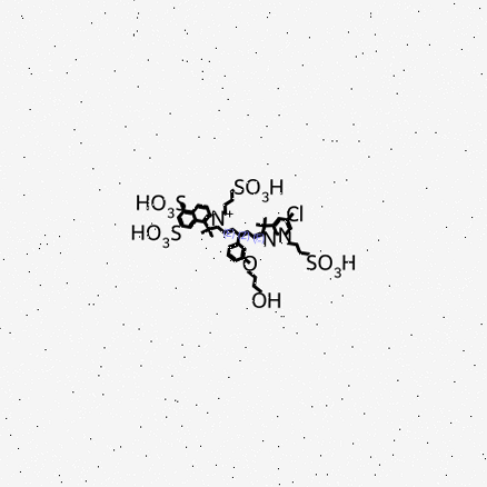 CC1(C)C2=CC(Cl)=CN(CCCCS(=O)(=O)O)C2=N/C1=C/C=C(/C=C/C1=[N+](CCCCS(=O)(=O)O)c2ccc3c(S(=O)(=O)O)cc(S(=O)(=O)O)cc3c2C1(C)C)c1cccc(OCCCCO)c1